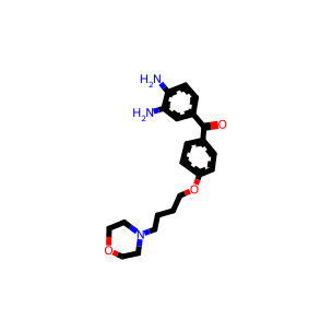 Nc1ccc(C(=O)c2ccc(OCCCCN3CCOCC3)cc2)cc1N